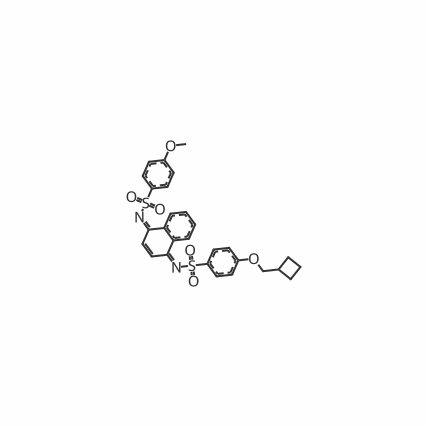 COc1ccc(S(=O)(=O)/N=C2C=C/C(=N/S(=O)(=O)c3ccc(OCC4CCC4)cc3)c3ccccc3/2)cc1